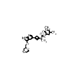 CN(C(=O)Nc1cc(C(F)(F)F)cn(C)c1=O)C12CC(c3cnc4[nH]nc(OCC5COCCO5)c4c3)(C1)C2